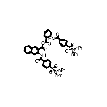 CCCN(CCC)S(=O)(=O)c1ccc(C(=O)Nc2ccccc2C(=O)OC(=O)c2cc3ccccc3cc2NC(=O)c2ccc(S(=O)(=O)N(CCC)CCC)cc2)cc1